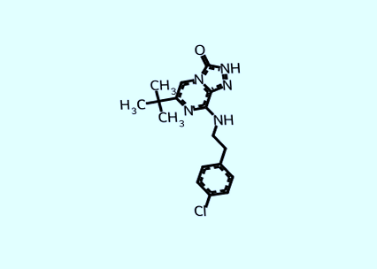 CC(C)(C)c1cn2c(=O)[nH]nc2c(NCCc2ccc(Cl)cc2)n1